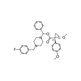 COc1ccc([C@@]2(C(=O)OC(c3ccccc3)N3CCN(Cc4ccc(F)cc4)CC3)C[C@@H]2OC)cc1